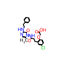 Cc1cnc(NCCc2ccccc2)c(=O)n1NC(=O)CCc1cc(Cl)ccc1OCC(=O)O